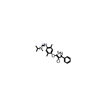 Cc1cc(Oc2snc(-c3ccccc3)c2Cl)c(C)cc1/N=C\N(C)C(C)C